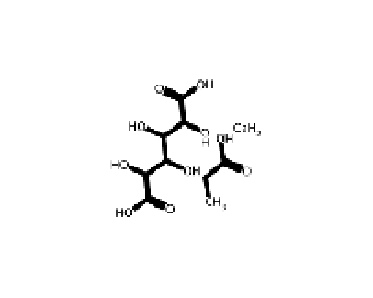 CCC(=O)O.O=C(O)C(O)C(O)C(O)C(O)C(=O)O.[CaH2]